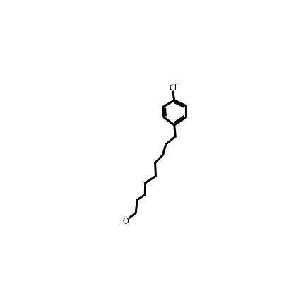 [O]CCCCCCCCCc1ccc(Cl)cc1